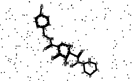 CCN(C(=O)c1[nH]cc(C(=O)NCc2ccc(Cl)cc2)c(=O)c1O)[C@@H]1CCCCN1